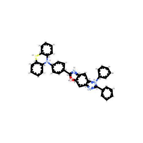 c1ccc(-c2nc3cc4oc(-c5ccc(N6c7ccccc7Sc7ccccc76)cc5)nc4cc3n2-c2ccccc2)cc1